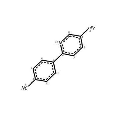 CCCc1ccc(-c2ccc(C#N)cc2)nc1